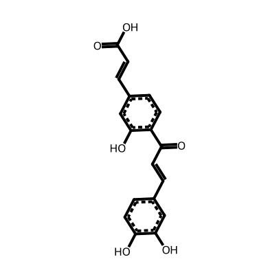 O=C(O)C=Cc1ccc(C(=O)C=Cc2ccc(O)c(O)c2)c(O)c1